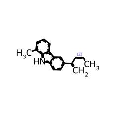 C=C(/C=C\C)c1ccc2[nH]c3c(C)cccc3c2c1